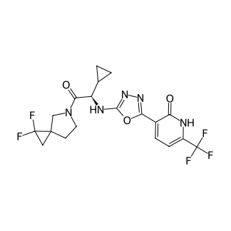 O=C([C@H](Nc1nnc(-c2ccc(C(F)(F)F)[nH]c2=O)o1)C1CC1)N1CCC2(C1)CC2(F)F